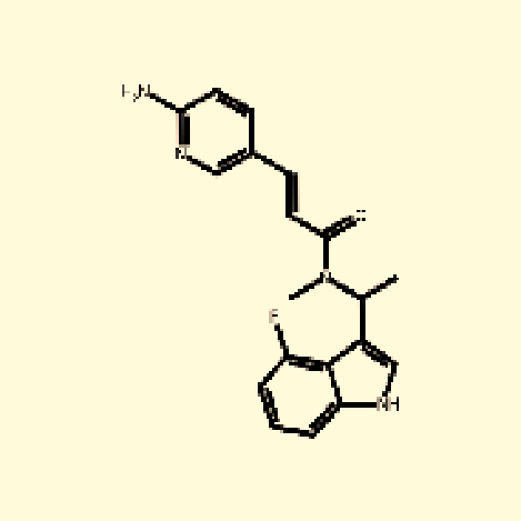 CC(c1c[nH]c2cccc(F)c12)N(C)C(=O)C=Cc1ccc(N)nc1